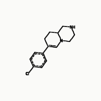 Clc1ccc(C2=CN3CCNCC3CC2)cc1